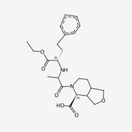 CCOC(=O)[C@H](CCc1ccccc1)NC(C)C(=O)N1CCC2COCC2[C@H]1C(=O)O